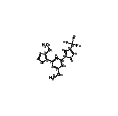 COc1ccsc1-c1cc(OP)nc(-c2nc(C(F)(F)F)cs2)n1